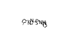 Cc1cccc(Cc2nccc(-c3ccc(NCc4ccccn4)s3)n2)c1